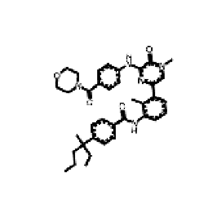 CCCC(C)(CC)c1ccc(C(=O)Nc2cccc(-c3cn(C)c(=O)c(Nc4ccc(C(=O)N5CCOCC5)cc4)n3)c2C)cc1